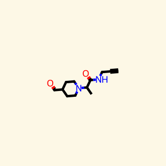 C#CCNC(=O)C(C)N1CCC(C=O)CC1